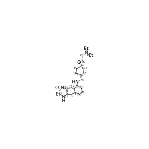 CCNc1cc2ncnc(NCc3ccc(OCCN(CC)CC)cc3)c2cc1[N+](=O)[O-]